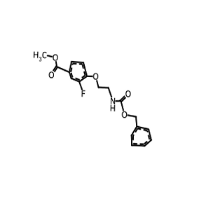 COC(=O)c1ccc(OCCNC(=O)OCc2ccccc2)c(F)c1